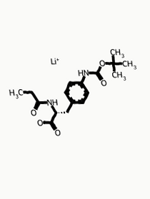 CCC(=O)N[C@H](Cc1ccc(NC(=O)OC(C)(C)C)cc1)C(=O)[O-].[Li+]